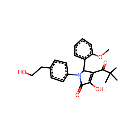 COc1ccccc1C1C(C(=O)C(C)(C)C)=C(O)C(=O)N1c1ccc(CCO)cc1